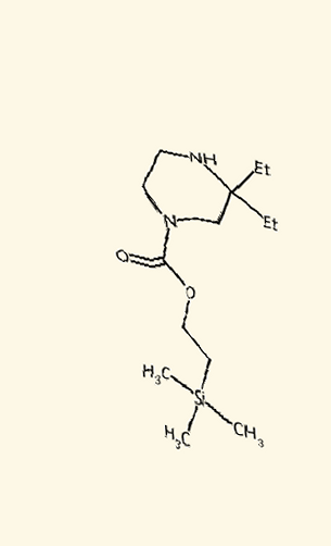 CCC1(CC)CN(C(=O)OCC[Si](C)(C)C)CCN1